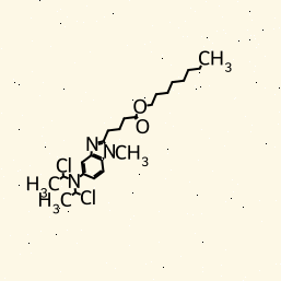 CCCCCCCCOC(=O)CCCc1nc2cc(N(C(C)Cl)C(C)Cl)ccc2n1C